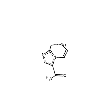 NC(=O)c1cnc2n1C=CNC2